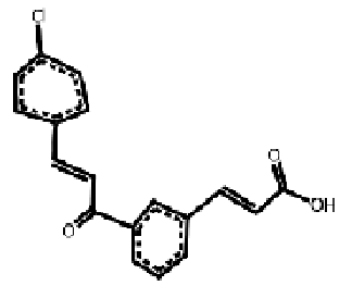 O=C(O)/C=C/c1cccc(C(=O)/C=C/c2ccc(Cl)cc2)c1